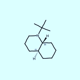 CC(C)(C)N1CCC[C@@H]2CCCC[C@H]21